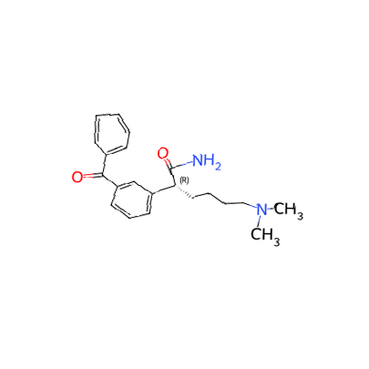 CN(C)CCCC[C@@H](C(N)=O)c1cccc(C(=O)c2ccccc2)c1